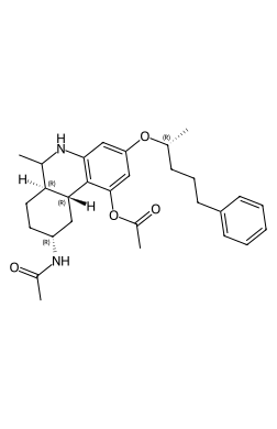 CC(=O)N[C@@H]1CC[C@H]2C(C)Nc3cc(O[C@H](C)CCCc4ccccc4)cc(OC(C)=O)c3[C@@H]2C1